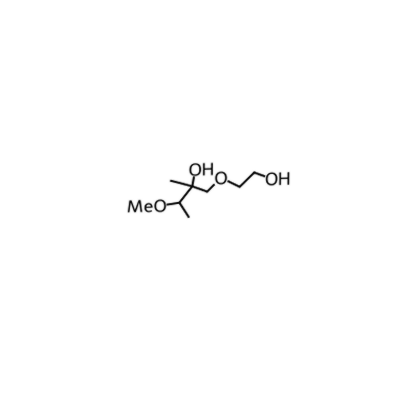 COC(C)C(C)(O)COCCO